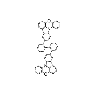 C1=CC(C2=CC3c4cccc5c4N(c4ccccc4O5)C3C=C2)=C(C2=C(C3=CC4c5cccc6c5N(c5ccccc5O6)C4C=C3)C=CCC2)CC1